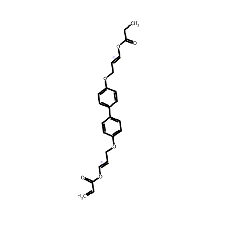 C=CC(=O)O/C=C/COc1ccc(-c2ccc(OC/C=C/OC(=O)CC)cc2)cc1